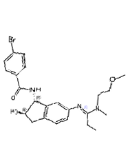 CC/C(=N\c1ccc2c(c1)[C@@H](NC(=O)c1ccc(Br)cc1)[C@H](O)C2)N(C)CCOC